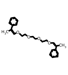 C/C(=C/OCCOCCOCCO/C=C(/C)c1ccccc1)c1ccccc1